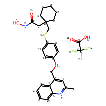 Cc1cc(COc2ccc(SCC3(CC(=O)NO)CCCCC3)cc2)c2ccccc2n1.O=C(O)C(F)(F)F